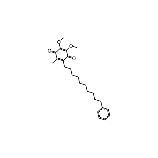 COC1=C(OC)C(=O)C(CCCCCCCCCCc2ccccc2)=C(C)C1=O